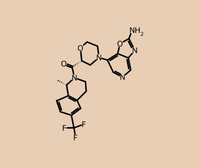 C[C@H]1c2ccc(C(F)(F)F)cc2CCN1C(=O)[C@H]1CN(c2cncc3nc(N)oc23)CCO1